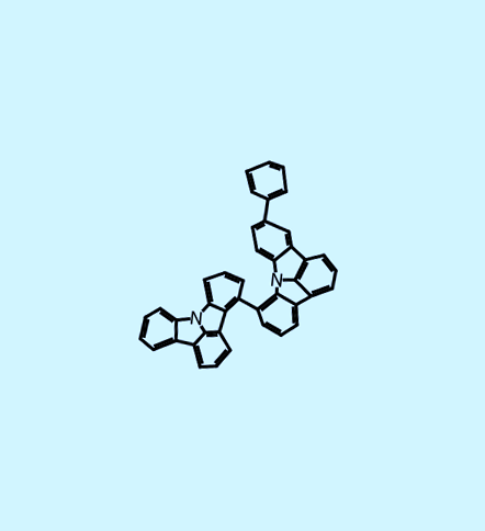 c1ccc(-c2ccc3c(c2)c2cccc4c5cccc(-c6cccc7c6c6cccc8c9ccccc9n7c86)c5n3c24)cc1